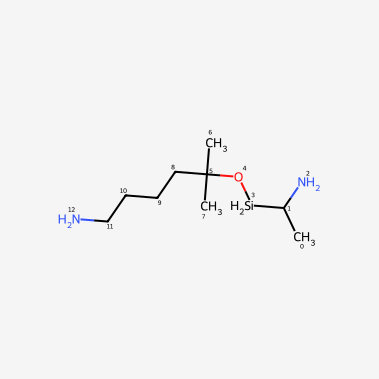 CC(N)[SiH2]OC(C)(C)CCCCN